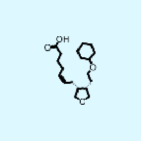 O=C(O)CCC/C=C\C[C@H]1COC[C@H]1CCOC1CCCCC1